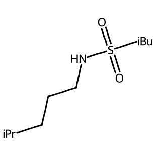 CCC(C)S(=O)(=O)NCCCC(C)C